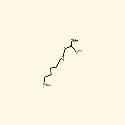 CCCCCCCCCCCCNCC(OC)OC